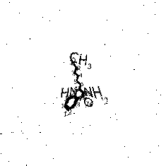 CCCCCCCc1[nH]c2ccccc2c(=O)c1N